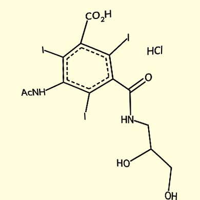 CC(=O)Nc1c(I)c(C(=O)O)c(I)c(C(=O)NCC(O)CO)c1I.Cl